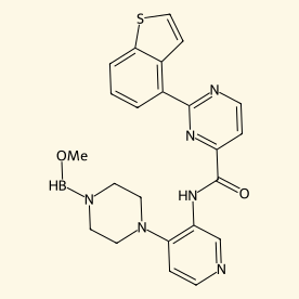 COBN1CCN(c2ccncc2NC(=O)c2ccnc(-c3cccc4sccc34)n2)CC1